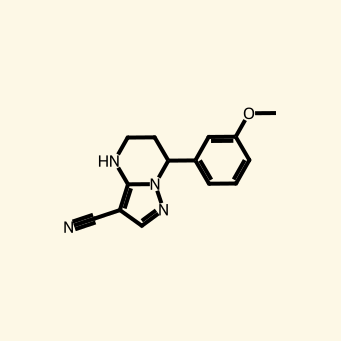 COc1cccc(C2CCNc3c(C#N)cnn32)c1